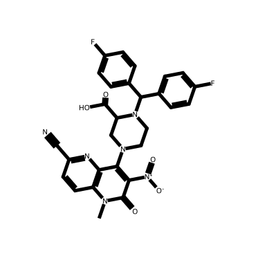 Cn1c(=O)c([N+](=O)[O-])c(N2CCN(C(c3ccc(F)cc3)c3ccc(F)cc3)C(C(=O)O)C2)c2nc(C#N)ccc21